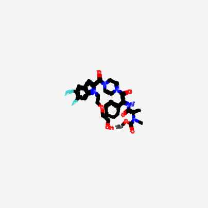 CC(C(=O)NC(C(=O)N1CCN(C(=O)c2cc3cc(F)c(F)cc3n2CCOCCO)CC1)C1CCCCC1)N(C)C(=O)OC(C)(C)C